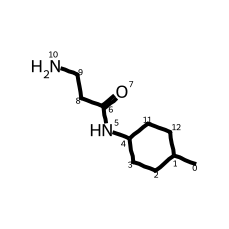 CC1CCC(NC(=O)CCN)CC1